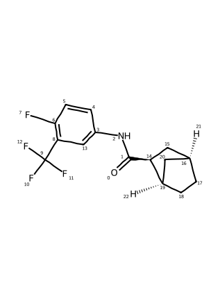 O=C(Nc1ccc(F)c(C(F)(F)F)c1)[C@H]1C[C@H]2CC[C@@H]1C2